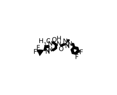 CN1C(=O)C(NC(=O)c2ncn(Cc3ccc(F)c(F)c3)n2)CCn2nc([C@@H]3CC3(F)F)cc21